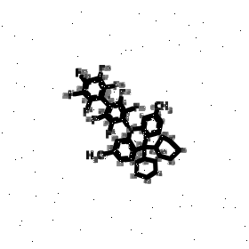 Cc1ccc2c(c1)N(c1c(F)c(F)c(-c3c(F)c(F)c(F)c(F)c3F)c(F)c1F)c1cc(C)ccc1C2(C1CCCCC1)C1CCCCC1